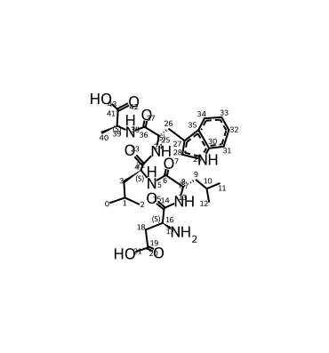 CC(C)C[C@H](NC(=O)[C@H](CC(C)C)NC(=O)[C@@H](N)CC(=O)O)C(=O)N[C@@H](Cc1c[nH]c2ccccc12)C(=O)N[C@@H](C)C(=O)O